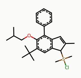 CC1=Cc2c(cc(C(C)(C)C)c(OCC(C)C)c2-c2ccccc2)C1S(C)(C)Cl